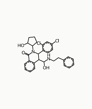 O=C1c2ccccc2C(C(O)NCCc2ccccc2)C(c2ccc(Cl)cc2Cl)N1C1CCCC1O